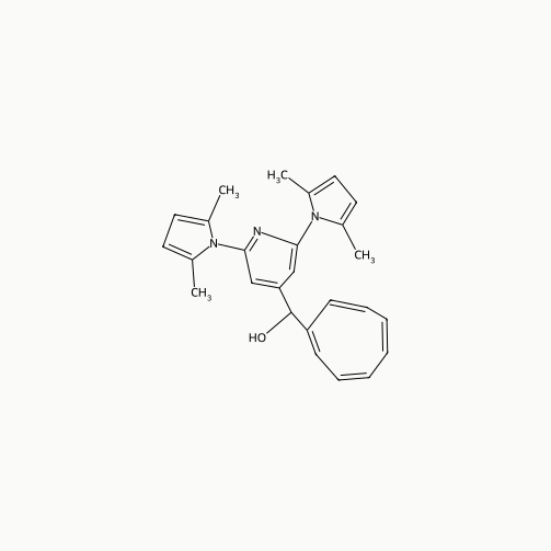 Cc1ccc(C)n1-c1cc(C(O)C2=C/C=C\C=C/C=C\2)cc(-n2c(C)ccc2C)n1